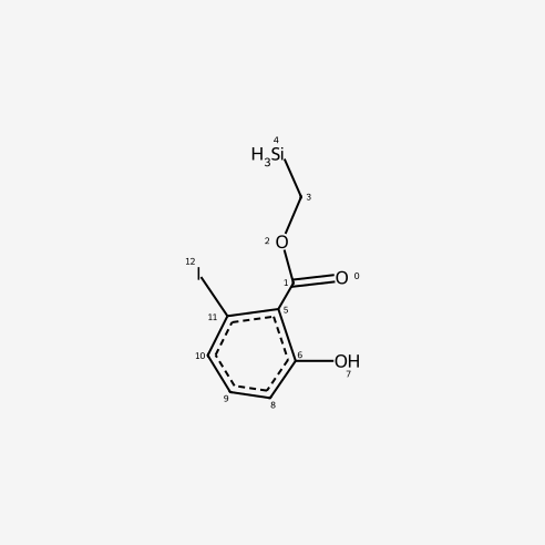 O=C(OC[SiH3])c1c(O)cccc1I